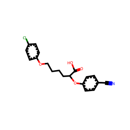 N#Cc1ccc(OC(CCCCOc2ccc(Cl)cc2)C(=O)O)cc1